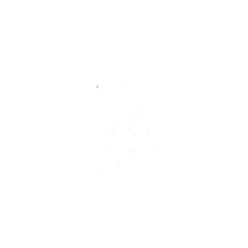 NCCC1=CONN1C1(OC(=O)C(F)(F)F)NOC(=O)N1c1ccc(F)c(Cl)c1